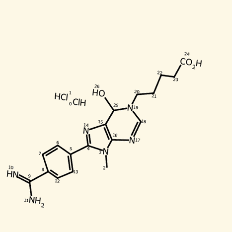 Cl.Cl.Cn1c(-c2ccc(C(=N)N)cc2)nc2c1N=CN(CCCCC(=O)O)C2O